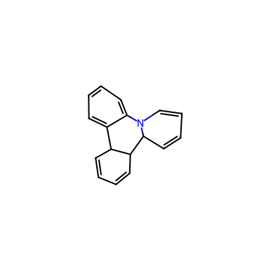 C1=CC2c3ccccc3N3C=CC=CC3C2C=C1